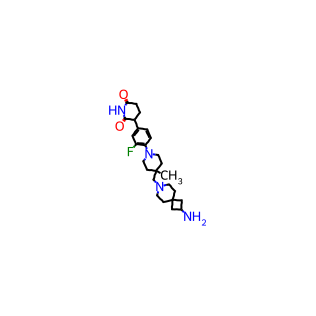 CC1(CN2CCC3(CC2)CC(N)C3)CCN(c2ccc(C3CCC(=O)NC3=O)cc2F)CC1